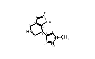 Cn1cc(C2CNCc3cnsc32)cn1